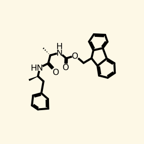 C[C@H](Cc1ccccc1)NC(=O)[C@H](C)NC(=O)OCC1c2ccccc2-c2ccccc21